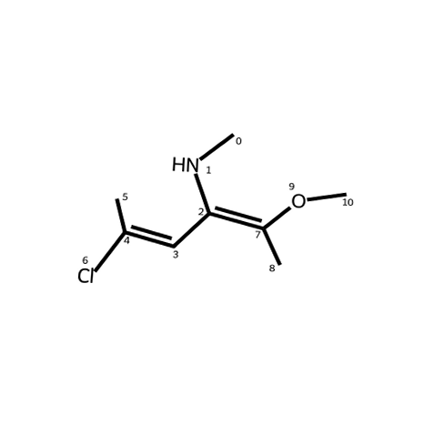 CNC(/C=C(\C)Cl)=C(/C)OC